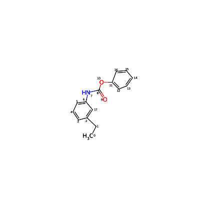 CCc1cccc(NC(=O)Oc2ccccc2)c1